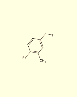 CCc1ccc(CF)cc1C